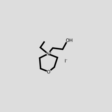 CC[N+]1(CCO)CCOCC1.[I-]